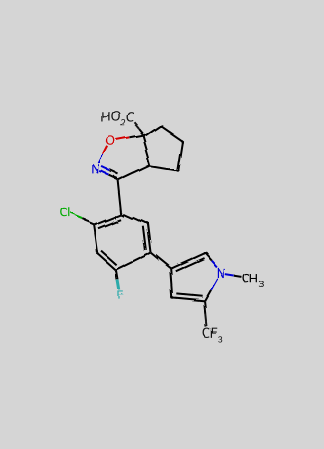 Cn1cc(-c2cc(C3=NOC4(C(=O)O)CCCC34)c(Cl)cc2F)cc1C(F)(F)F